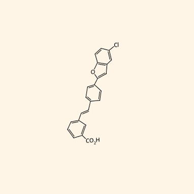 O=C(O)c1cccc(C=Cc2ccc(-c3cc4cc(Cl)ccc4o3)cc2)c1